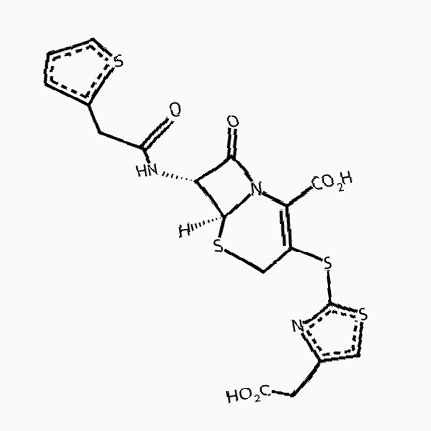 O=C(O)Cc1csc(SC2=C(C(=O)O)N3C(=O)[C@@H](NC(=O)Cc4cccs4)[C@@H]3SC2)n1